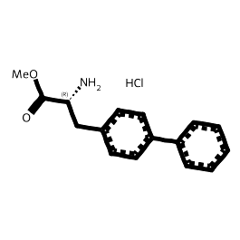 COC(=O)[C@H](N)Cc1ccc(-c2ccccc2)cc1.Cl